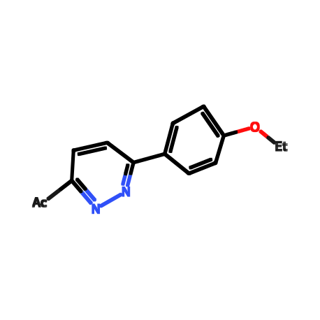 CCOc1ccc(-c2ccc(C(C)=O)nn2)cc1